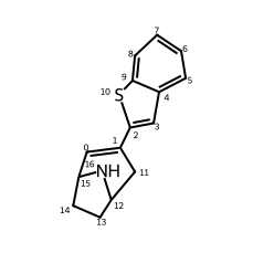 C1=C(c2cc3ccccc3s2)CC2CCC1N2